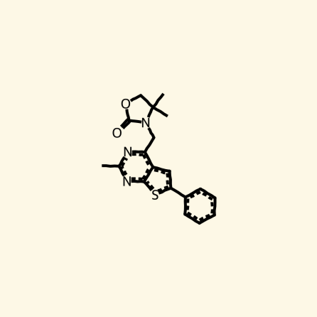 Cc1nc(CN2C(=O)OCC2(C)C)c2cc(-c3ccccc3)sc2n1